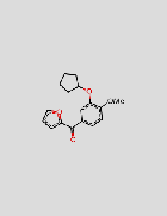 COc1ccc(C(=O)c2ccco2)cc1OC1CCCC1